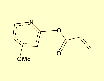 C=CC(=O)Oc1cc(OC)ccn1